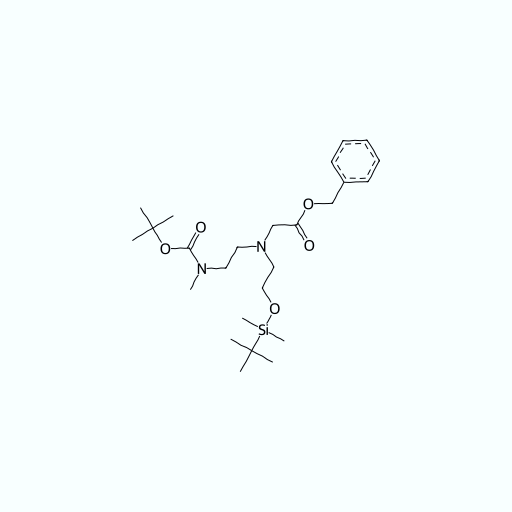 CN(CCN(CCO[Si](C)(C)C(C)(C)C)CC(=O)OCc1ccccc1)C(=O)OC(C)(C)C